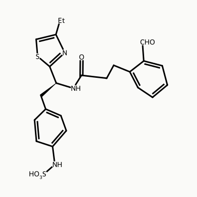 CCc1csc([C@H](Cc2ccc(NS(=O)(=O)O)cc2)NC(=O)CCc2ccccc2C=O)n1